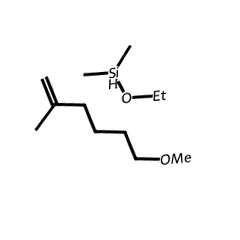 C=C(C)CCCCOC.CCO[SiH](C)C